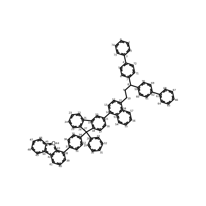 c1ccc(-c2ccc(C(CCc3ccc(-c4ccc5c(c4)-c4ccccc4C5(c4ccccc4)c4ccc(-c5cccc6c5oc5ccccc56)cc4)c4ccccc34)c3ccc(-c4ccccc4)cc3)cc2)cc1